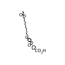 C=CC(=O)OCCCCCCCCCCCCOc1ccc(OC(=O)[C@H]2CC[C@H](C(=O)O)CC2)cc1